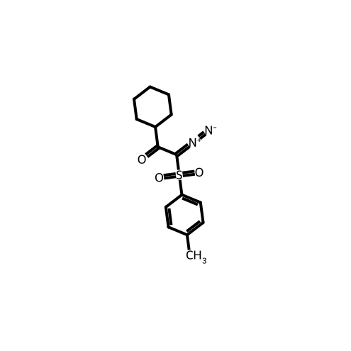 Cc1ccc(S(=O)(=O)C(=[N+]=[N-])C(=O)C2CCCCC2)cc1